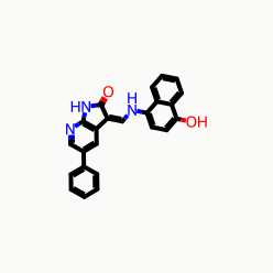 O=C1Nc2ncc(-c3ccccc3)cc2C1=CNc1ccc(O)c2ccccc12